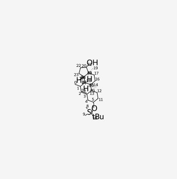 CC1C=C2CC(O[Si](C)(C)C(C)(C)C)CC[C@]2(C)[C@@H]2CC[C@]3(C)C(O)CC[C@H]3[C@H]12